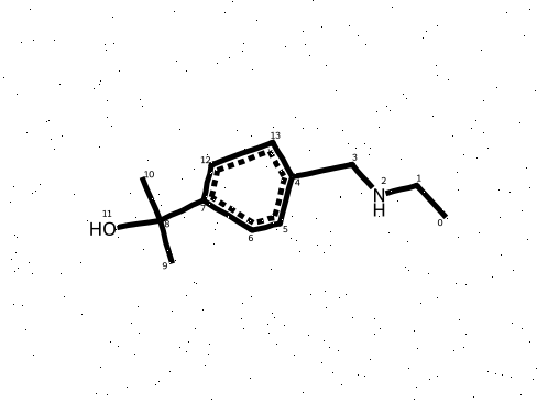 CCNCc1ccc(C(C)(C)O)cc1